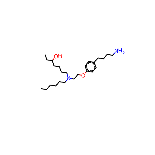 CCCCCCN(CCCCC(O)CC)CCOc1ccc(CCCCN)cc1